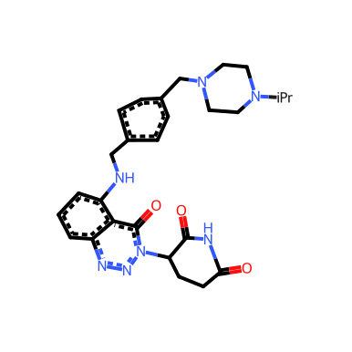 CC(C)N1CCN(Cc2ccc(CNc3cccc4nnn(C5CCC(=O)NC5=O)c(=O)c34)cc2)CC1